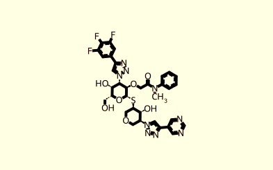 CN(C(=O)CO[C@@H]1[C@@H](n2cc(-c3cc(F)c(F)c(F)c3)nn2)[C@@H](O)[C@@H](CO)O[C@H]1S[C@@H]1COC[C@H](n2cc(-c3cncnc3)nn2)[C@H]1O)c1ccccc1